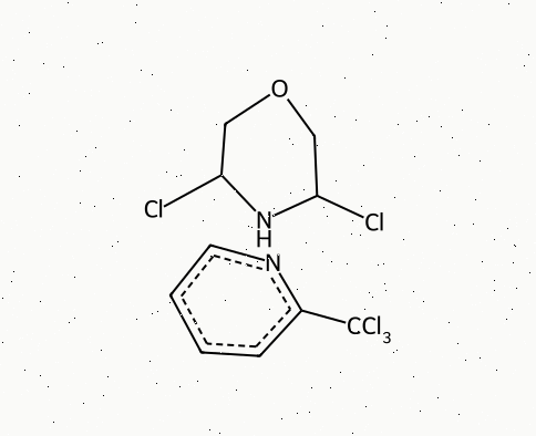 ClC(Cl)(Cl)c1ccccn1.ClC1COCC(Cl)N1